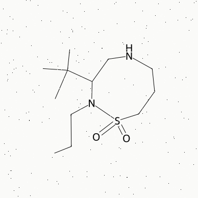 CCCN1C(C(C)(C)C)CNCCCS1(=O)=O